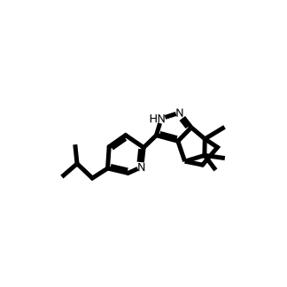 CC(C)Cc1ccc(-c2[nH]nc3c2C2CCC3(C)C2(C)C)nc1